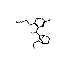 COCOc1ccc(F)cc1[C@@H](O)C1C2CCC(O2)C1CO